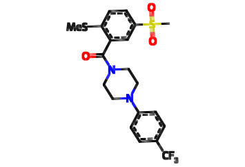 CSc1ccc(S(C)(=O)=O)cc1C(=O)N1CCN(c2ccc(C(F)(F)F)cc2)CC1